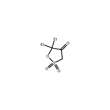 CCC1(CC)OS(=O)(=O)CC1=O